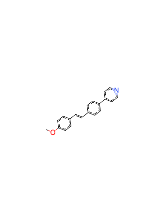 COc1ccc(/C=C/c2ccc(-c3ccncc3)cc2)cc1